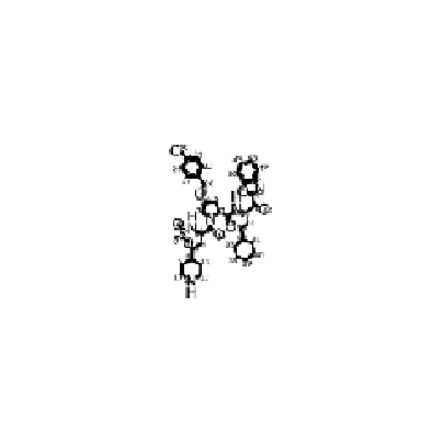 CS(=O)(=O)N[C@H](CCC1CCNCC1)C(=O)N1C[C@H](OCc2ccc(Cl)cc2)C[C@H]1C(=O)N[C@@H](CC=C1CCCCC1)C(=O)c1nc2ccccc2o1